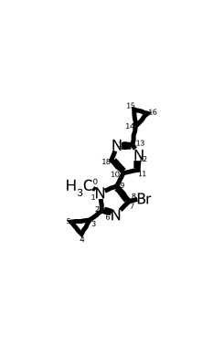 Cn1c(C2CC2)nc(Br)c1-c1cnc(C2CC2)nc1